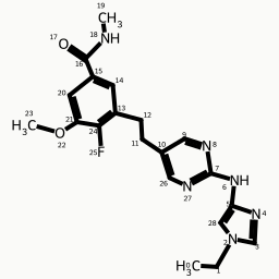 CCn1cnc(Nc2ncc(CCc3cc(C(=O)NC)cc(OC)c3F)cn2)c1